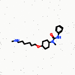 CNCCCCCCOC1CCC(N(C)C(=O)Nc2ccccc2)CC1